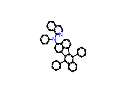 c1ccc(-c2c3c(c(-c4ccccc4)c4ccccc24)-c2ccc(N(c4ccccc4)c4nccc5ccccc45)c4cccc-3c24)cc1